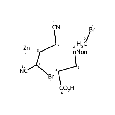 CBr.CCCCCCCCCCCC(=O)O.N#CCCC(Br)C#N.[Zn]